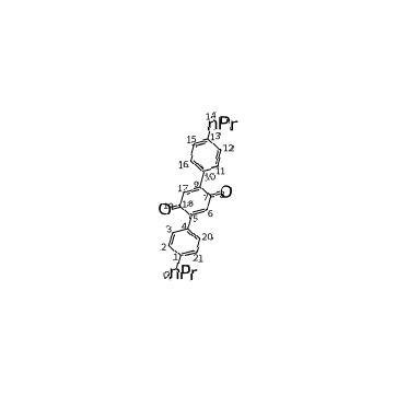 CCCc1ccc(C2=CC(=O)C(c3ccc(CCC)cc3)=CC2=O)cc1